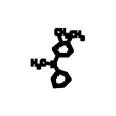 Cc1ccc(N(C)c2ccccc2)cc1C